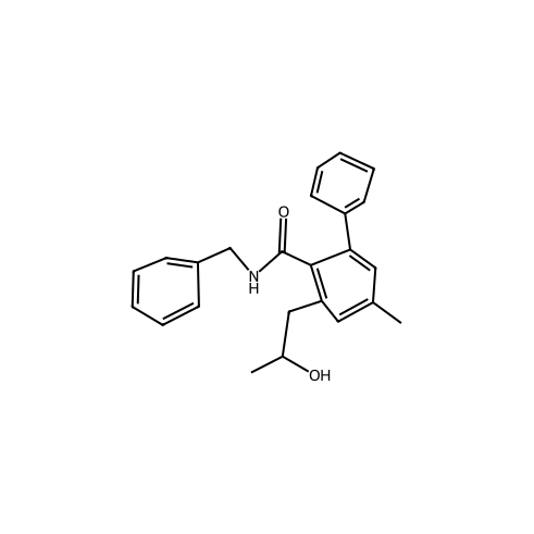 Cc1cc(CC(C)O)c(C(=O)NCc2ccccc2)c(-c2ccccc2)c1